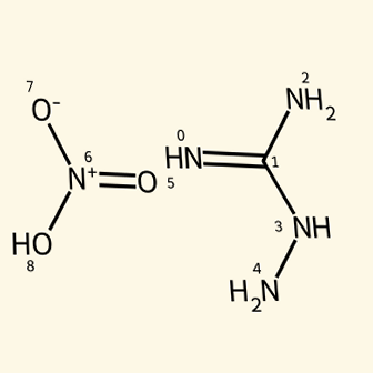 N=C(N)NN.O=[N+]([O-])O